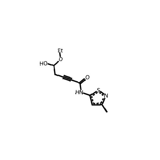 CCOC(O)CC#CC(=O)Nc1cc(C)ns1